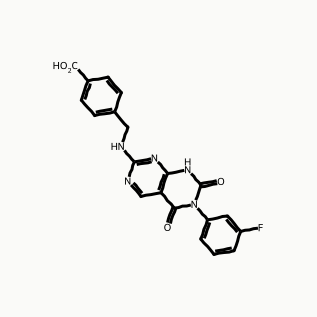 O=C(O)c1ccc(CNc2ncc3c(=O)n(-c4cccc(F)c4)c(=O)[nH]c3n2)cc1